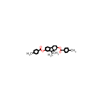 Cc1ccc(C(=O)OC2=CC=C3c4ccc(OC(=O)c5ccc(C)cc5)cc4C(C)C3(C)C2)cc1